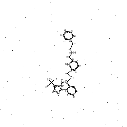 FC(F)(F)c1nnc2c3ccccc3c(OCc3cccc(CNCCc4ccccc4)n3)nn12